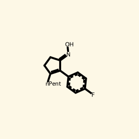 CCCCCC1=C(c2ccc(F)cc2)C(=NO)CC1